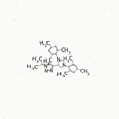 Cc1cc(C)c(N2CC(c3cn(C(C)C)nn3)N(c3c(C)cc(C)cc3C)C2)c(C)c1